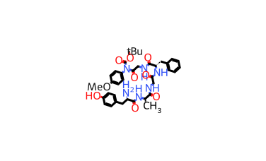 COc1ccc(N(C(=O)CNC(=O)[C@H](Cc2ccccc2)NC(=O)CNC(=O)[C@@H](C)NC(=O)[C@@H](N)Cc2ccc(O)cc2)C(=O)OC(C)(C)C)cc1